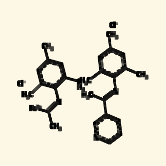 CC(=Nc1c(C)cc(C)cc1C)c1cccnc1.C[C]([Fe+2])=Nc1c(C)cc(C)cc1C.[Cl-].[Cl-]